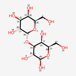 OC[C@H]1O[C@H](O[C@@H]2[C@@H](O)[C@H](O)O[C@H](CO)[C@@H]2O)[C@H](O)[C@@H](O)[C@H]1O